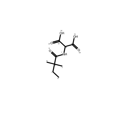 CCC(C)(C)C(=O)NC(C(=O)O)C(=O)O